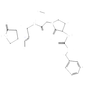 CCOC(=O)/C=C/[C@H](C[C@@H]1CCNC1=O)NC(=O)[C@H](CC(C)C)N1CCC(NC(=O)OCc2ccccc2)C1=O